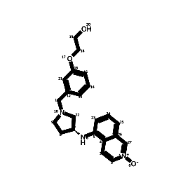 [O-][n+]1ccc2c(N[C@@H]3CCN(Cc4cccc(OCCO)c4)C3)cccc2c1